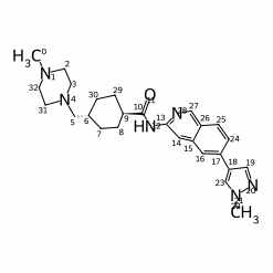 CN1CCN(C[C@H]2CC[C@H](C(=O)Nc3cc4cc(-c5cnn(C)c5)ccc4cn3)CC2)CC1